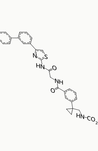 O=C(O)NCC1(c2cccc(C(=O)NCC(=O)Nc3nc(-c4cccc(-c5ccncc5)c4)cs3)c2)CC1